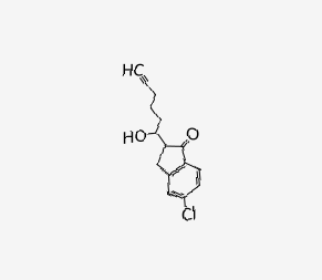 C#CCCCC(O)C1Cc2cc(Cl)ccc2C1=O